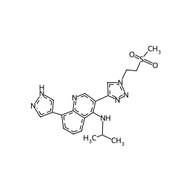 CC(C)Nc1c(-c2cn(CCS(C)(=O)=O)nn2)cnc2c(-c3cn[nH]c3)cccc12